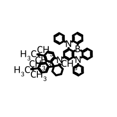 CC(C)(C)c1ccc(C23CCCCC2(C)N(c2cc4c5c(c2)N(c2ccccc2)c2ccccc2B5c2ccccc2N4c2ccccc2)c2ccc(C(C)(C)C)cc23)cc1